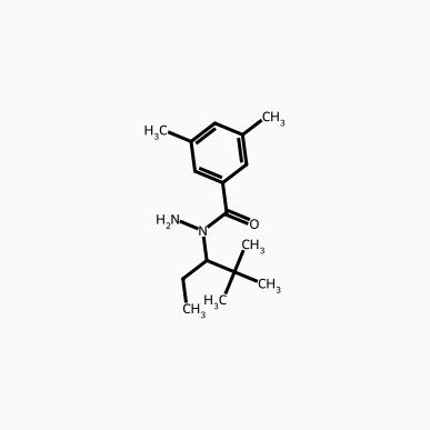 CCC(N(N)C(=O)c1cc(C)cc(C)c1)C(C)(C)C